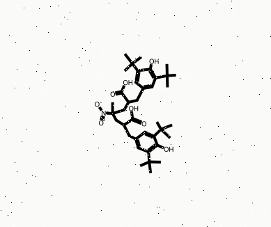 CC(C)(C)c1cc(CC(CC(C)(CC(Cc2cc(C(C)(C)C)c(O)c(C(C)(C)C)c2)C(=O)O)[N+](=O)[O-])C(=O)O)cc(C(C)(C)C)c1O